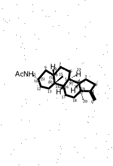 C=C1CC[C@H]2[C@@H]3[CH][CH][C@H]4C[C@@H](NC(C)=O)CC[C@@]4(C)[C@H]3CC[C@]12C